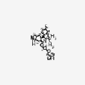 CC(C)c1nc(O[C@H]2C[C@@H](OCC(=O)O)C2)c2cc3[nH]ncc3cc2c1-c1ccc(F)cc1